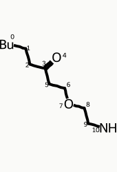 CC(C)(C)CCC(=O)CCOCCN